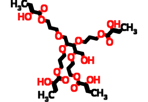 CC=C(O)C(=O)OCCCOCC(OCCCOC(=O)C(O)=CC)C(OCCCOC(=O)C(O)=CC)C(CO)OCCCOC(=O)C(O)=CC